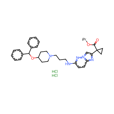 CC(C)OC(=O)C1(c2cn3nc(NCCCN4CCC(OC(c5ccccc5)c5ccccc5)CC4)ccc3n2)CC1.Cl.Cl